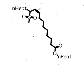 CCCCCCCC(/C=C\CCCCCCCC(=O)OCCCCC)S(C)(=O)=O